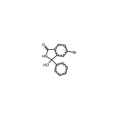 O=C1NC(O)(c2ccccc2)c2cc(Br)ccc21